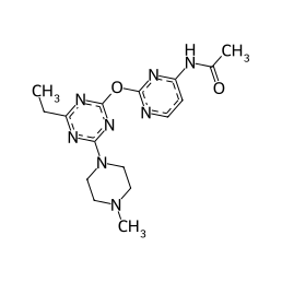 CCc1nc(Oc2nccc(NC(C)=O)n2)nc(N2CCN(C)CC2)n1